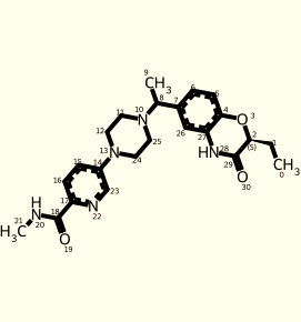 CC[C@@H]1Oc2ccc(C(C)N3CCN(c4ccc(C(=O)NC)nc4)CC3)cc2NC1=O